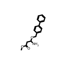 COC(=O)CC(N)OCc1ccc(-c2ccccc2)cc1